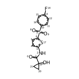 O=C(Nc1ccc(S(=O)(=O)c2ccc(F)cc2)s1)C1(O)CC1